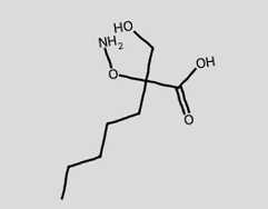 CCCCCC(CO)(ON)C(=O)O